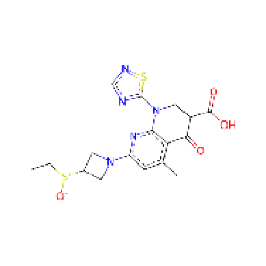 CC[S+]([O-])C1CN(c2cc(C)c3c(n2)N(c2ncns2)CC(C(=O)O)C3=O)C1